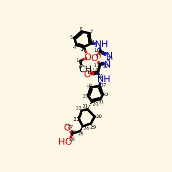 CCOc1ccccc1Nc1nnc(C(=O)Nc2ccc([C@H]3CC[C@H](CC(=O)O)CC3)cc2)o1